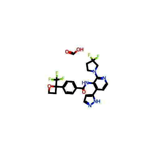 O=C(Nc1c(-c2ccn[nH]2)ccnc1N1CCC(F)(F)C1)c1ccc(C2(C(F)(F)F)CCO2)cc1.O=CO